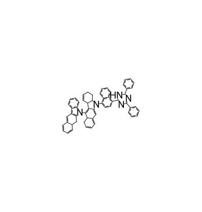 C1=CCC2C(=C1)C=C1C(=C2n2c3c(c4ccccc42)C=C2C=CC=CC2C3)C2C=CCCC2N1c1ccc(C2=NC(c3ccccc3)=NC(c3ccccc3)N2)c2ccccc12